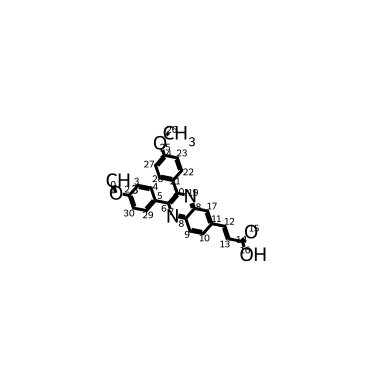 COc1ccc(-c2nc3ccc(C=CC(=O)O)cc3nc2-c2ccc(OC)cc2)cc1